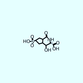 O=C1N[C@H](C(=O)O)C(O)C2CC(S(=O)(=O)O)CC12